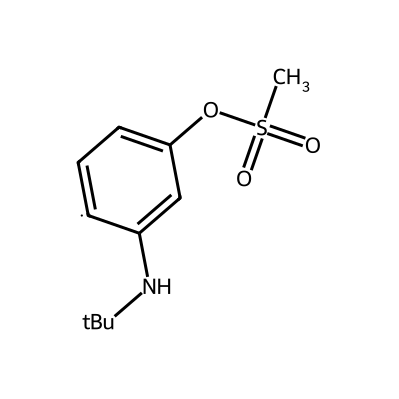 CC(C)(C)Nc1[c]ccc(OS(C)(=O)=O)c1